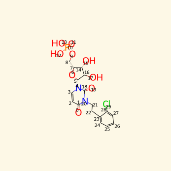 O=c1ccn([C@@H]2O[C@H](COP(=O)(O)O)[C@H](O)C2O)c(=O)n1CCc1ccccc1Cl